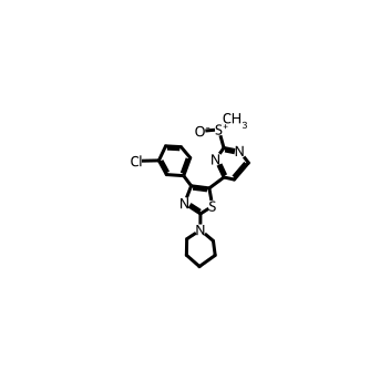 C[S+]([O-])c1nccc(-c2sc(N3CCCCC3)nc2-c2cccc(Cl)c2)n1